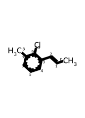 C/C=C/c1cccc(C)c1Cl